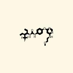 C=C/C(NC(=O)Nc1ccc(Oc2cc(NCCOC)ncn2)cc1)=C(\C=C)C(F)(F)F